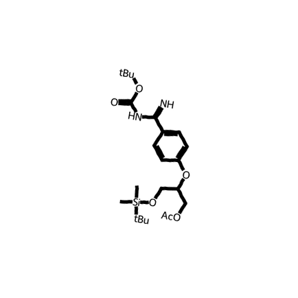 CC(=O)OCC(CO[Si](C)(C)C(C)(C)C)Oc1ccc(C(=N)NC(=O)OC(C)(C)C)cc1